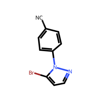 N#Cc1ccc(-n2nccc2Br)cc1